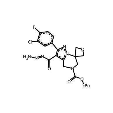 CC(C)(C)OC(=O)N1Cc2c(C(=O)N=NN)c(-c3ccc(F)c(Cl)c3)nn2C2(COC2)C1